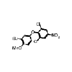 CCC(C)c1cc(Oc2c(Cl)cc([N+](=O)[O-])cc2Cl)ccc1OC